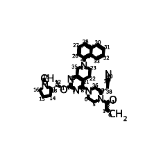 C=CC(=O)N1CCN(c2nc(OC[C@@H]3CCCN3C)nc3c2CCN(c2c[c]cc4ccccc24)C3)C[C@@H]1CC#N